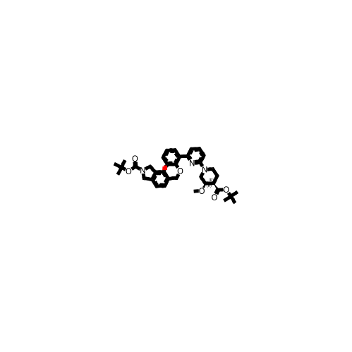 CO[C@H]1CN(c2cccc(-c3cccc(C)c3OCc3ccc4c(c3C)CN(C(=O)OC(C)(C)C)C4)n2)CC[C@H]1C(=O)OC(C)(C)C